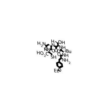 CCOc1ccc(C[C@@H](N)C(=O)N[C@H](C(=O)N[C@H](C(=O)N[C@@H](CC(N)=O)C(=O)N[C@@H](CS)C(=O)O)[C@@H](C)O)[C@@H](C)CC)cc1